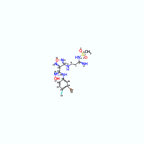 CS(=O)(=O)NC(=N)CCNc1nonc1/C(=N/O)Nc1ccc(F)c(Br)c1